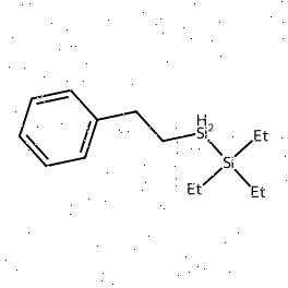 CC[Si](CC)(CC)[SiH2]CCc1ccccc1